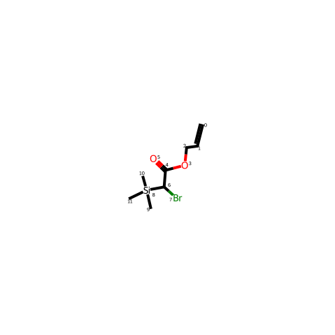 C=CCOC(=O)C(Br)[Si](C)(C)C